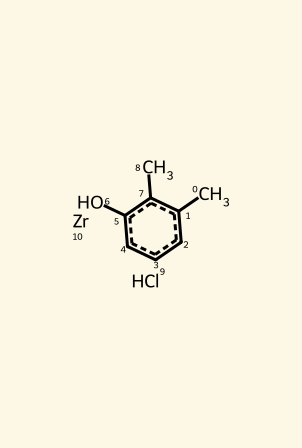 Cc1cccc(O)c1C.Cl.[Zr]